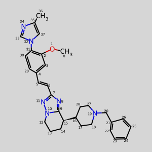 COc1cc(/C=C/c2nc3n(n2)CCC[C@@H]3C2CCN(Cc3ccccc3)CC2)ccc1-n1cnc(C)c1